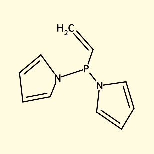 C=CP(n1cccc1)n1cccc1